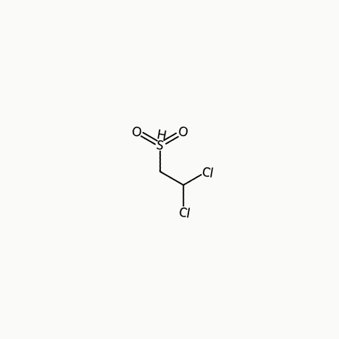 O=[SH](=O)CC(Cl)Cl